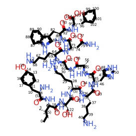 CC[C@H](C)[C@H](NC(=O)[C@@H](N)Cc1ccc(O)cc1)C(=O)N[C@@H](CO)C(=O)N[C@@H](CCCCN)C(=O)N[C@@H](CCCCN)C(=O)N[C@@H](Cc1c[nH]cn1)C(=O)N[C@@H](C)C(=O)NCC(=O)N[C@@H](CCCCN)C(=O)N[C@@H](CC(N)=O)C(=O)N[C@@H](Cc1c[nH]c2ccccc12)C(=O)N[C@@H](Cc1ccccc1)C(=O)O